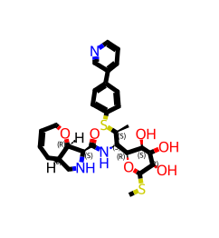 CSC1O[C@H]([C@H](NC(=O)[C@H]2NC[C@@H]3CC=CCO[C@H]32)[C@H](C)Sc2ccc(-c3cccnc3)cc2)[C@@H](O)C(O)[C@H]1O